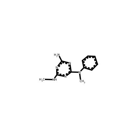 CNc1nc(N)nc(N(C)c2ccccc2)n1